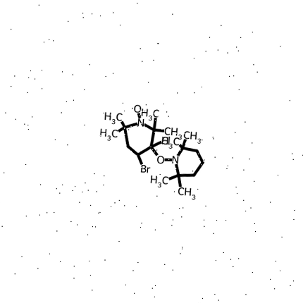 CC1(C)CCCC(C)(C)N1OC1(Cl)C(Br)CC(C)(C)N([O])C1(C)C